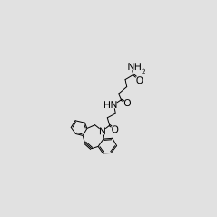 NC(=O)CCCC(=O)NCCC(=O)N1Cc2ccccc2C#Cc2ccccc21